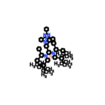 CC(C)(C)c1cc(-c2ccc3c(c2)N(c2cc(-c4ccccc4)cc(-c4ccccc4)c2)c2cc(-c4ccc5c(c4)c4ccccc4n5-c4ccccc4-c4nc(-c5ccccc5)nc(-c5ccccc5)n4)cc4c2B3c2ccc(-c3cc(C(C)(C)C)cc(C(C)(C)C)c3)cc2N4c2cc(-c3ccccc3)cc(-c3ccccc3)c2)cc(C(C)(C)C)c1